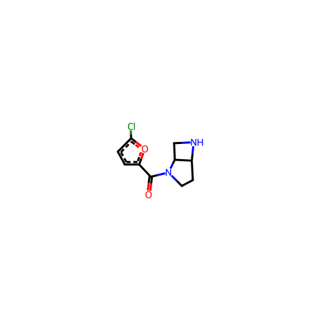 O=C(c1ccc(Cl)o1)N1CCC2NCC21